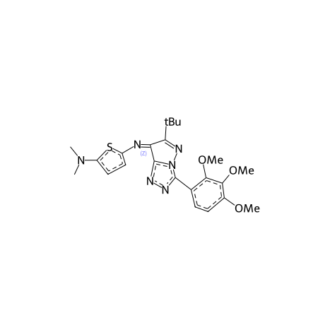 COc1ccc(-c2nnc3n2N=C(C(C)(C)C)/C3=N/c2ccc(N(C)C)s2)c(OC)c1OC